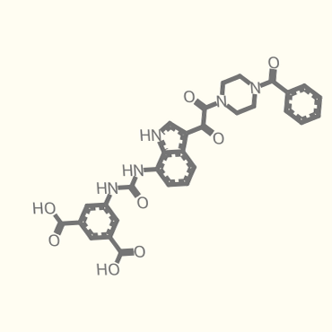 O=C(Nc1cc(C(=O)O)cc(C(=O)O)c1)Nc1cccc2c(C(=O)C(=O)N3CCN(C(=O)c4ccccc4)CC3)c[nH]c12